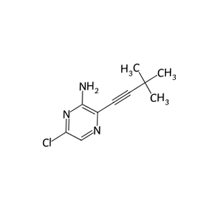 CC(C)(C)C#Cc1ncc(Cl)nc1N